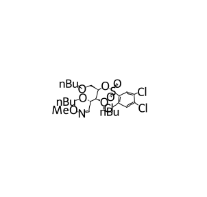 CCCCOC[C@@H](OS(=O)(=O)c1cc(Cl)c(Cl)cc1Cl)[C@@H](OCCCC)[C@H](/C=N\OC)OCCCC